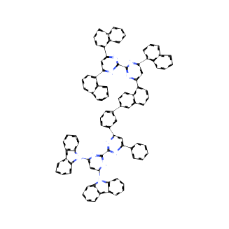 c1ccc(-c2cc(-c3cccc(-c4ccc5c(-c6cc(-c7cccc8ccccc78)nc(-c7nc(-c8cccc9ccccc89)cc(-c8cccc9ccccc89)n7)n6)cccc5c4)c3)nc(-c3nc(-n4c5ccccc5c5ccccc54)cc(-n4c5ccccc5c5ccccc54)n3)n2)cc1